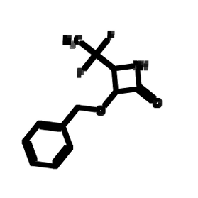 CC(F)(F)C1NC(=O)C1OCc1ccccc1